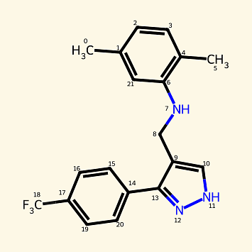 Cc1ccc(C)c(NCc2c[nH]nc2-c2ccc(C(F)(F)F)cc2)c1